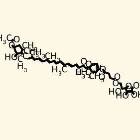 CC(=O)OC1CC(C)(C)C(=C=C/C(C)=C/C=C/C(C)=C/C=C/C=C(C)/C=C/C=C(\C)C(=O)CC23OC2(C)CC(OC(=O)CCC(=O)OCC(O)C2OC(=O)C(O)=C2O)CC3(C)C)[C@@](C)(O)C1